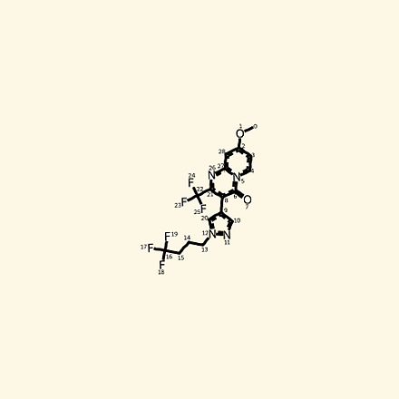 COc1ccn2c(=O)c(-c3cnn(CCCC(F)(F)F)c3)c(C(F)(F)F)nc2c1